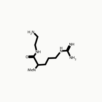 CNC(CCCNC(=N)N)C(=O)NCCN